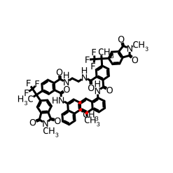 Cc1cccc2c(NC(=O)c3ccc(C(C)(c4ccc5c(c4)C(=O)N(C)C5=O)C(F)(F)F)cc3C(=O)NCCNC(=O)c3ccc(C(C)(c4ccc5c(c4)C(=O)N(C)C5=O)C(F)(F)F)cc3C(=O)Nc3ccc(C)c4ccccc34)cccc12